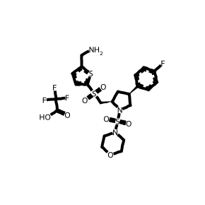 NCc1ccc(S(=O)(=O)C[C@H]2C[C@@H](c3ccc(F)cc3)CN2S(=O)(=O)N2CCOCC2)s1.O=C(O)C(F)(F)F